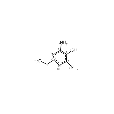 CCc1nc(N)c(S)c(N)n1